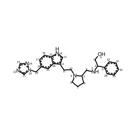 OCC(NCC1CCCN1CCc1c[nH]c2ccc(Cn3cncn3)cc12)c1ccccc1